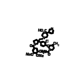 CN1CCN(C(N)=O)CC1.COc1cc(C(=O)N2CCC(CCN3CCC(C(=O)O)(c4cccnc4)CC3)(c3ccc(Cl)c(Cl)c3)C2)cc(OC)c1OC